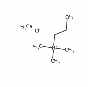 C[N+](C)(C)CCO.[CaH2].[Cl-]